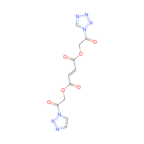 O=C(/C=C/C(=O)OCC(=O)n1cnnn1)OCC(=O)n1ccnn1